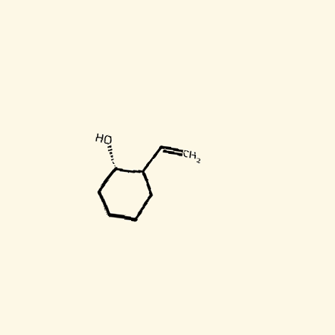 C=CC1CCCC[C@@H]1O